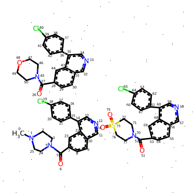 CN1CCN(C(=O)c2ccc3cncc(-c4ccc(Cl)cc4)c3c2)CC1.O=C(c1ccc2cncc(-c3ccc(Cl)cc3)c2c1)N1CCOCC1.O=C(c1ccc2cncc(-c3ccc(Cl)cc3)c2c1)N1CCS(=O)(=O)CC1